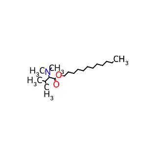 CCCCCCCCCCCCOC(=O)C(C(C)C)N(C)C